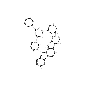 c1ccc(-c2nc(-c3ccccc3)nc(-c3cccc(-n4c5ccccc5c5ccc6c7ncncc7oc6c54)c3)n2)cc1